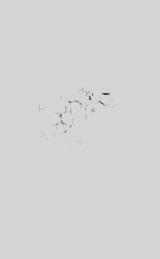 C[C@@H]1[C@@H]2C(CN1C(=O)[C@@H](NS(=O)(=O)c1ccsc1)C(C)(C)C)C2(C)C